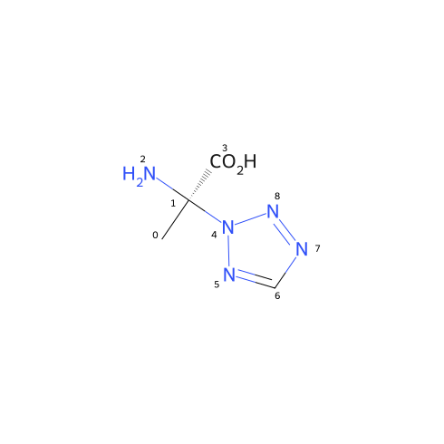 C[C@](N)(C(=O)O)n1ncnn1